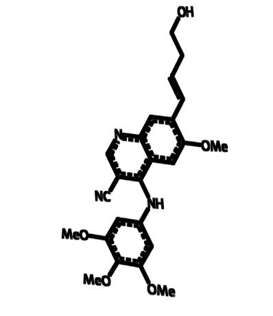 COc1cc2c(Nc3cc(OC)c(OC)c(OC)c3)c(C#N)cnc2cc1C=CCCO